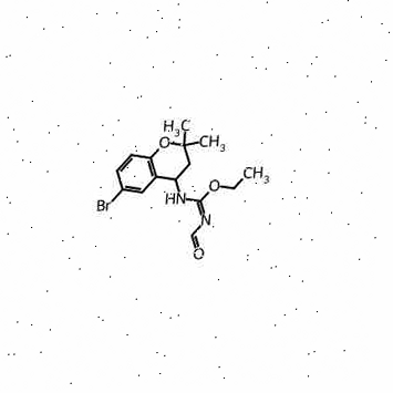 CCO/C(=N/C=O)NC1CC(C)(C)Oc2ccc(Br)cc21